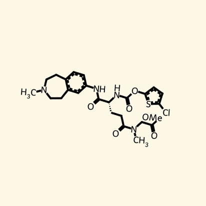 COC(=O)CN(C)C(=O)CC[C@@H](NC(=O)Oc1ccc(Cl)s1)C(=O)Nc1ccc2c(c1)CCN(C)CC2